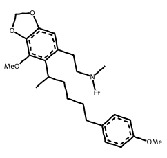 CCN(C)CCc1cc2c(c(OC)c1C(C)CCCCc1ccc(OC)cc1)OCO2